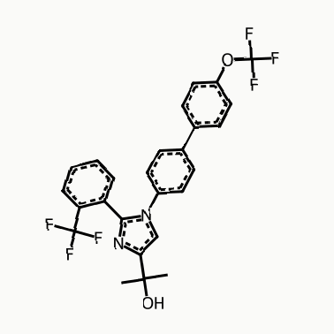 CC(C)(O)c1cn(-c2ccc(-c3ccc(OC(F)(F)F)cc3)cc2)c(-c2ccccc2C(F)(F)F)n1